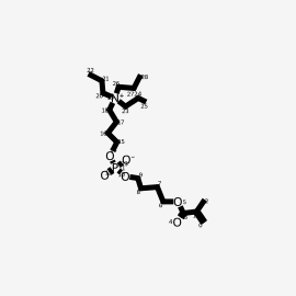 C=C(C)C(=O)OCCCCOP(=O)([O-])OCCCC[N+](CCC)(CCC)CCC